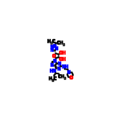 CCC(CC)Nc1nc(NCCN2CCOCC2)nc2c1ncn2[C@@H]1O[C@H](c2nnn(C(C)C)n2)[C@@H](O)[C@H]1O